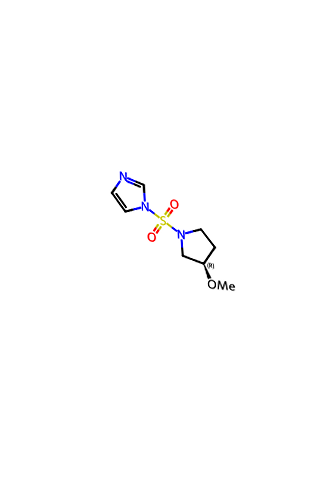 CO[C@@H]1CCN(S(=O)(=O)n2ccnc2)C1